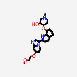 COCCOc1ccn2c(-c3ccc4cccc(O[C@@H]5CCN(C)C[C@@H]5O)c4n3)cnc2c1